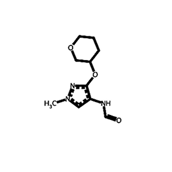 Cn1cc(NC=O)c(OC2CCCOC2)n1